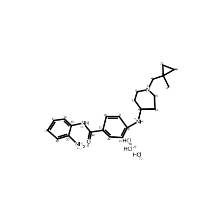 CC1(CN2CCC(Nc3ccc(C(=O)Nc4ccccc4N)cc3)CC2)CC1.Cl.Cl.Cl